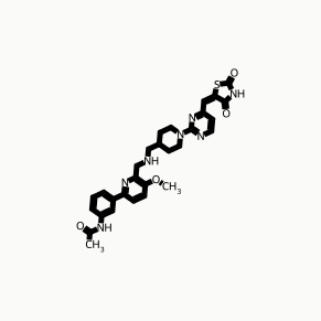 COc1ccc(-c2cccc(NC(C)=O)c2)nc1CNCC1CCN(c2nccc(C=C3SC(=O)NC3=O)n2)CC1